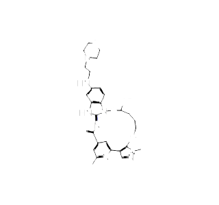 Cc1cc2cc(n1)-c1cnn(C)c1OCCCC(C(F)(F)F)CN1/C(=N/C2=O)Nc2cc(NCCN3CCOCC3)ccc21